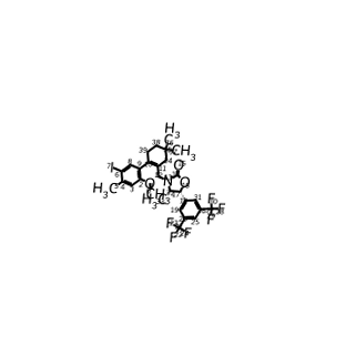 COc1cc(C)c(I)cc1C1=C(CN2C(=O)O[C@H](c3cc(C(F)(F)F)cc(C(F)(F)F)c3)[C@@H]2C)CC(C)(C)CC1